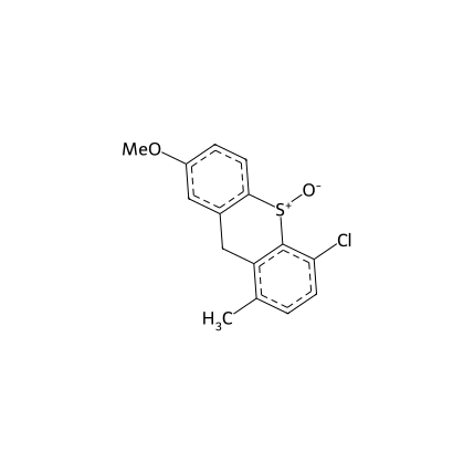 COc1ccc2c(c1)Cc1c(C)ccc(Cl)c1[S+]2[O-]